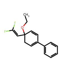 CCOC1(C=C(F)F)C=CC(c2ccccc2)=CC1